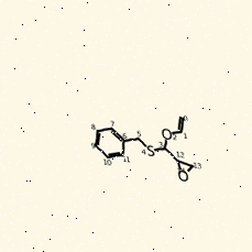 C=COC(SCc1ccccc1)C1CO1